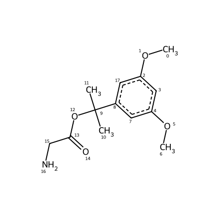 COc1cc(OC)cc(C(C)(C)OC(=O)CN)c1